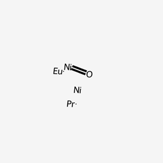 [Eu].[Ni].[O]=[Ni].[Pr]